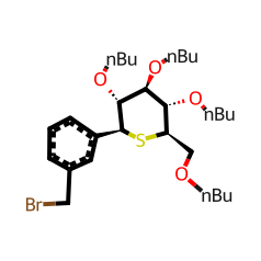 CCCCOC[C@H]1S[C@@H](c2cccc(CBr)c2)[C@H](OCCCC)[C@@H](OCCCC)[C@@H]1OCCCC